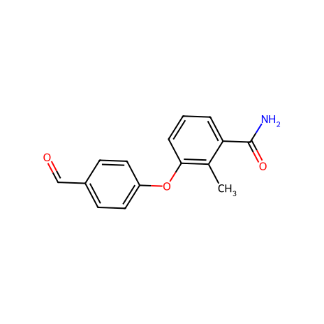 Cc1c(Oc2ccc(C=O)cc2)cccc1C(N)=O